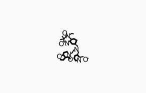 CCN1C(=O)C(C)(C)C(=O)N(C)c2cc(CN(CCn3ccc4occc4c3=O)Cc3cccnc3COC)ccc21